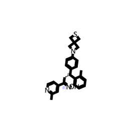 Cc1cc(/C(C[C@H](c2ccc(N3CC4(CSC4)C3)cc2)c2ccccc2C)=N/O)ccn1